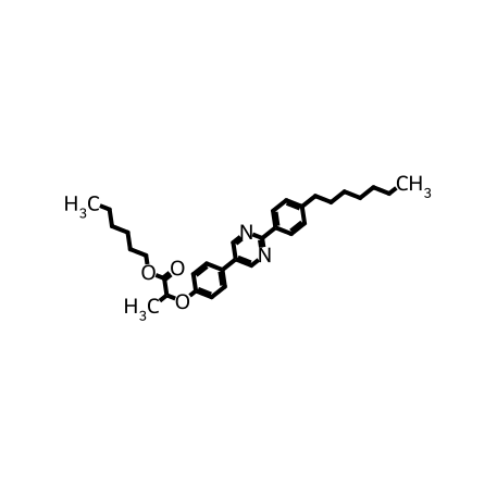 CCCCCCCc1ccc(-c2ncc(-c3ccc(OC(C)C(=O)OCCCCCC)cc3)cn2)cc1